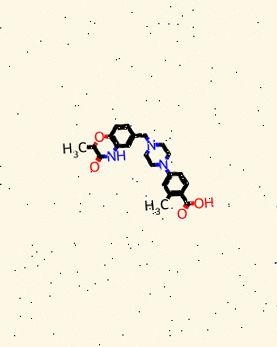 Cc1cc(N2CCN(Cc3ccc4c(c3)NC(=O)C(C)O4)CC2)ccc1C(=O)O